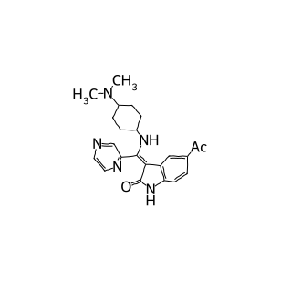 CC(=O)c1ccc2c(c1)C(=C(NC1CCC(N(C)C)CC1)c1cnccn1)C(=O)N2